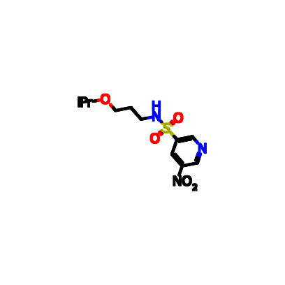 CC(C)OCCCNS(=O)(=O)c1cncc([N+](=O)[O-])c1